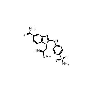 CNC(=N)Cn1c(Nc2ccc(S(N)(=O)=O)cc2)nc2cc(C(N)=O)ccc21